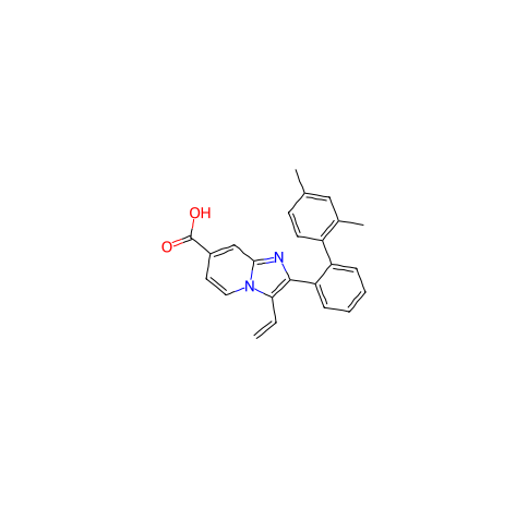 C=Cc1c(-c2ccccc2-c2ccc(C)cc2C)nc2cc(C(=O)O)ccn12